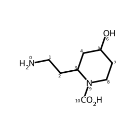 NCCC1CC(O)CCN1C(=O)O